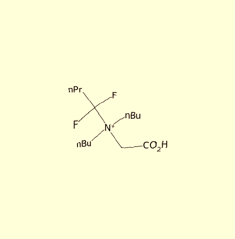 CCCC[N+](CCCC)(CC(=O)O)C(F)(F)CCC